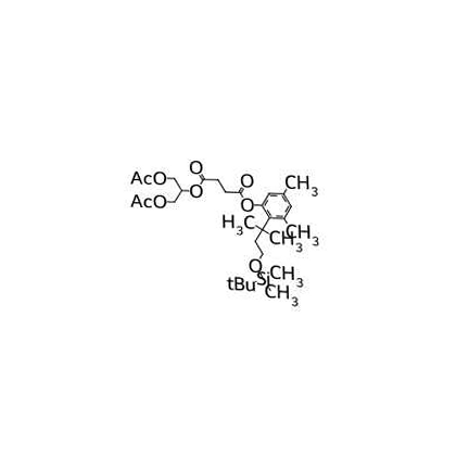 CC(=O)OCC(COC(C)=O)OC(=O)CCC(=O)Oc1cc(C)cc(C)c1C(C)(C)CCO[Si](C)(C)C(C)(C)C